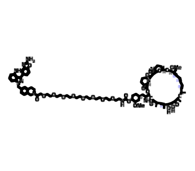 CO[C@H]1C[C@@H]2CC[C@@H](C)[C@@](O)(O2)C(=O)C(=O)N2CCCC[C@H]2C(=O)O[C@H]([C@H](N)C[C@@H]2CC[C@@H](OC(=O)NCCOCCOCCOCCOCCOCCOCCOCCOCC(=O)N3CCc4cc(Cn5nc(-c6ccc7oc(N)nc7c6)c6c(N)cccc65)ccc4C3)[C@H](OC)C2)CC(=O)[C@H](C)/C=C(\C)[C@@H](O)[C@@H](O)C(=O)[C@H](C)C[C@H](C)/C=C/C=C/C=C/1C